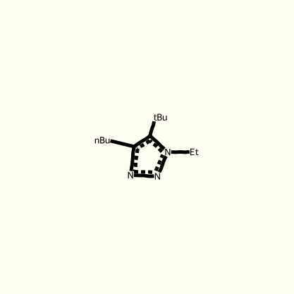 CCCCc1nnn(CC)c1C(C)(C)C